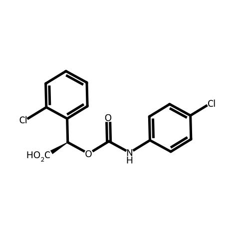 O=C(Nc1ccc(Cl)cc1)O[C@@H](C(=O)O)c1ccccc1Cl